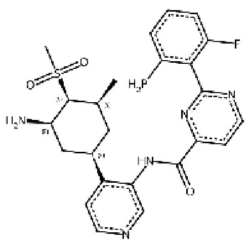 C[C@H]1C[C@@H](c2ccncc2NC(=O)c2ccnc(-c3c(F)cccc3P)n2)C[C@@H](N)[C@H]1S(C)(=O)=O